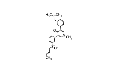 CC=CC[S+]([O-])c1cccc(-c2cn(C)cc(-c3cccc(CC(C)C)c3)c2=O)c1